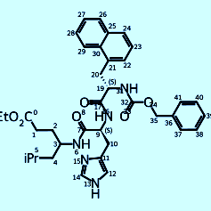 CCOC(=O)CCC(CC(C)C)NC(=O)[C@H](Cc1c[nH]cn1)NC(=O)[C@H](Cc1cccc2ccccc12)NC(=O)OCc1ccccc1